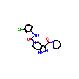 O=C(Nc1cccc(Cl)c1)N1CCc2[nH]nc(C(=O)N3CCCCC3)c2C1